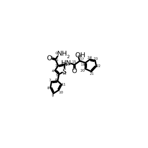 NC(=O)c1cc(-c2ccccc2)sc1NC(=O)C(O)c1ccccc1